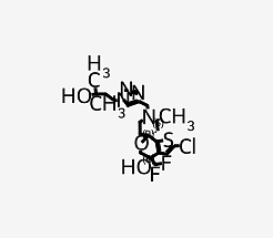 C[C@H]1C[C@@]2(CCN1Cc1cn(CCC(C)(C)O)nn1)OC[C@@](O)(C(F)F)c1cc(Cl)sc12